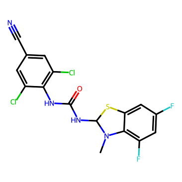 CN1c2c(F)cc(F)cc2SC1NC(=O)Nc1c(Cl)cc(C#N)cc1Cl